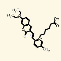 Bc1ccc(/C=C/c2cc3ccc(N(CC)CC)cc3oc2=O)[n+](CCCCCC(=O)O)c1